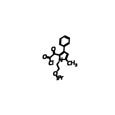 Cc1cc(-c2ccccc2)c(C(=O)C(=O)Cl)n1CCOC(C)C